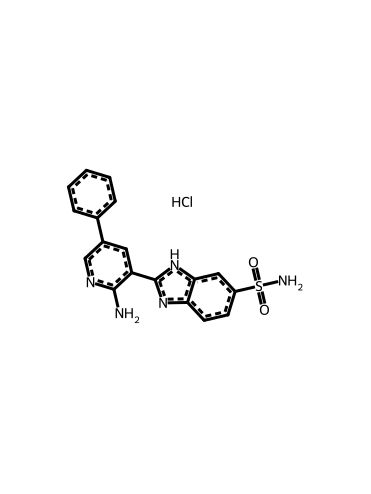 Cl.Nc1ncc(-c2ccccc2)cc1-c1nc2ccc(S(N)(=O)=O)cc2[nH]1